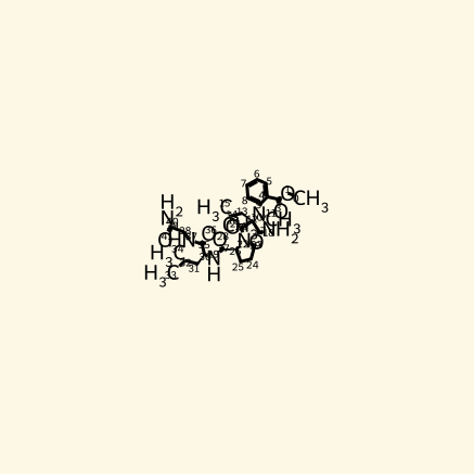 COC(=O)c1ccccc1N(C)[C@](CC(C)C)(C(N)=O)C(=O)N1CCC[C@H]1C(=O)N[C@@H](CC(C)C)C(=O)NCC(N)=O